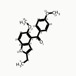 CCc1cc2c(C(=O)c3ccc(OC)cc3)c(OC)ccc2o1